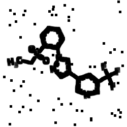 CCS(=O)(=O)c1ccccc1-n1cc(-c2cncc(C(F)(F)F)c2)cn1